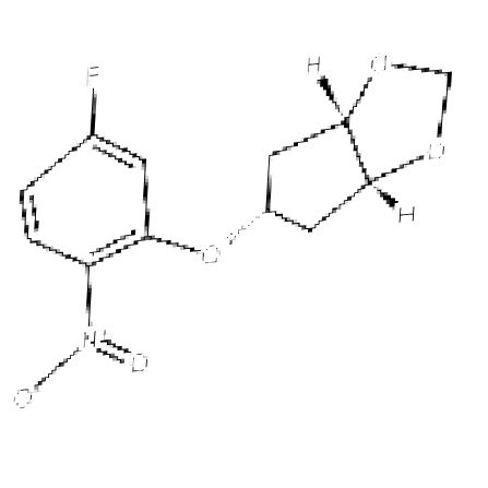 O=[N+]([O-])c1ccc(F)cc1O[C@@H]1C[C@@H]2OCO[C@@H]2C1